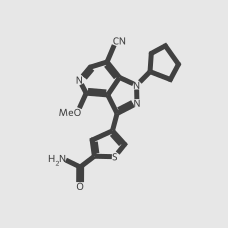 COc1ncc(C#N)c2c1c(-c1csc(C(N)=O)c1)nn2C1CCCC1